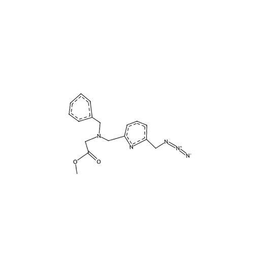 COC(=O)CN(Cc1ccccc1)Cc1cccc(CN=[N+]=[N-])n1